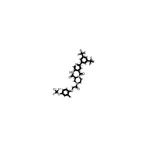 Cc1cc(OC(F)(F)F)ccc1OCC(=O)N1CCN2C(=O)c3cc(-c4cc(C(F)(F)F)cc(C(F)(F)F)c4)ncc3NC(=O)C2C1